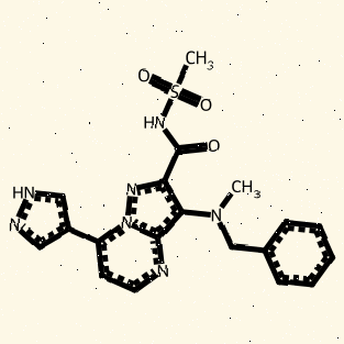 CN(Cc1ccccc1)c1c(C(=O)NS(C)(=O)=O)nn2c(-c3cn[nH]c3)ccnc12